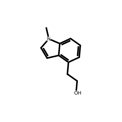 Cn1ccc2c(CCO)cccc21